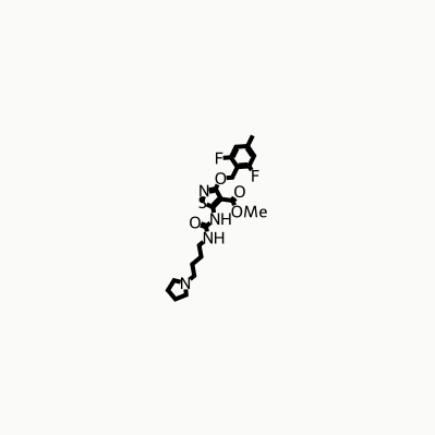 COC(=O)c1c(OCc2c(F)cc(C)cc2F)nsc1NC(=O)NCCCCN1CCCC1